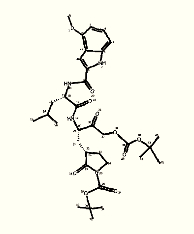 COc1cccc2[nH]c(C(=O)N[C@@H](CC(C)C)C(=O)N[C@@H](C[C@@H]3CCN(C(=O)OC(C)(C)C)C3=O)C(=O)COC(=O)OC(C)(C)C)cc12